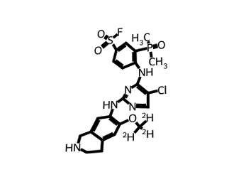 [2H]C([2H])([2H])Oc1cc2c(cc1Nc1ncc(Cl)c(Nc3ccc(S(=O)(=O)F)cc3P(C)(C)=O)n1)CNCC2